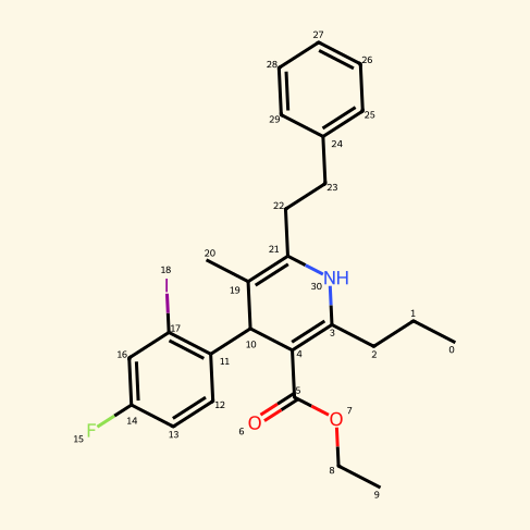 CCCC1=C(C(=O)OCC)C(c2ccc(F)cc2I)C(C)=C(CCc2ccccc2)N1